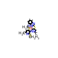 CCCC(Sc1nc2ccccc2[nH]1)C(=O)Nc1c(SC)cc(C)nc1SC